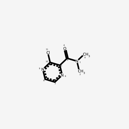 CN(C)C(=O)c1nccnc1Cl